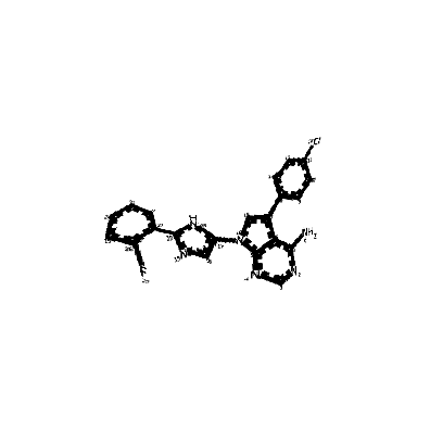 Nc1ncnc2c1c(-c1ccc(Cl)cc1)cn2-c1cnc(-c2ccccc2F)[nH]1